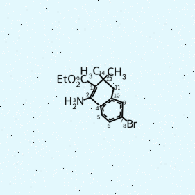 CCOC(=O)C1=C(N)c2ccc(Br)cc2CC1(C)C